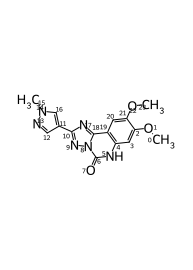 COc1cc2[nH]c(=O)n3nc(-c4cnn(C)c4)nc3c2cc1OC